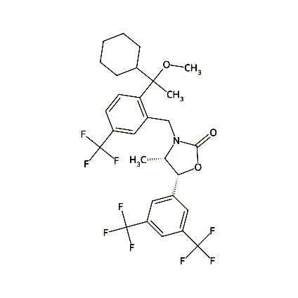 COC(C)(c1ccc(C(F)(F)F)cc1CN1C(=O)O[C@H](c2cc(C(F)(F)F)cc(C(F)(F)F)c2)[C@@H]1C)C1CCCCC1